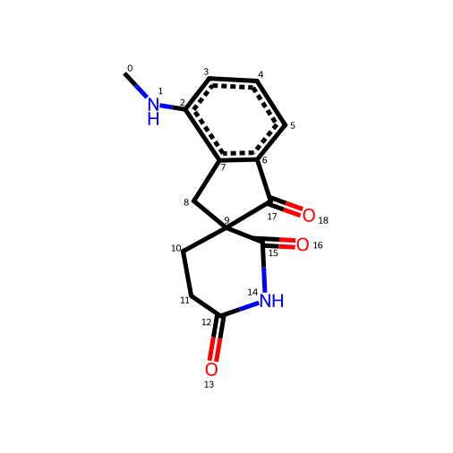 CNc1cccc2c1CC1(CCC(=O)NC1=O)C2=O